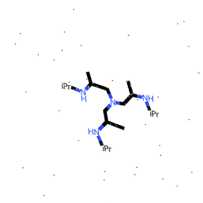 CC(C)NC(C)CN(CC(C)NC(C)C)CC(C)NC(C)C